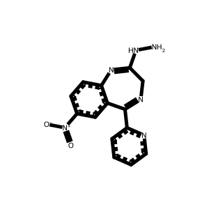 NNC1=Nc2ccc([N+](=O)[O-])cc2C(c2ccccn2)=NC1